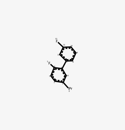 CC(C)c1ccc(F)c(-c2cccc(F)c2)c1